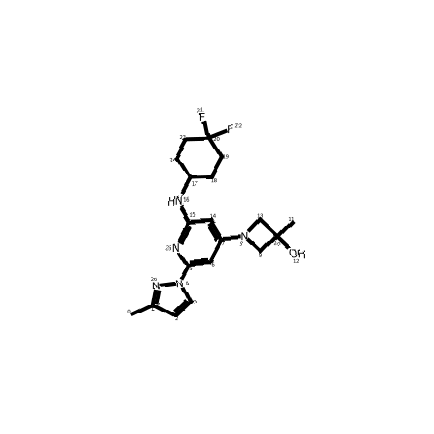 Cc1ccn(-c2cc(N3CC(C)(O)C3)cc(NC3CCC(F)(F)CC3)n2)n1